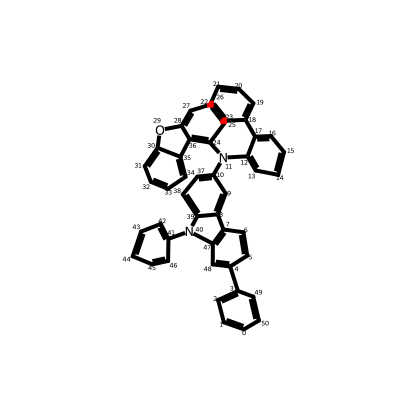 c1ccc(-c2ccc3c4cc(N(c5ccccc5-c5ccccc5)c5cccc6oc7ccccc7c56)ccc4n(-c4ccccc4)c3c2)cc1